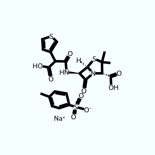 CC1(C)S[C@@H]2[C@H](NC(=O)C(C(=O)O)c3ccsc3)C(=O)N2[C@H]1C(=O)O.Cc1ccc(S(=O)(=O)[O-])cc1.[Na+]